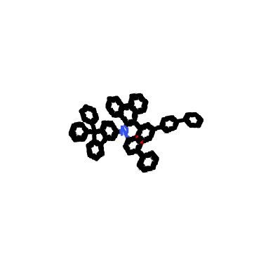 c1ccc(-c2ccc(-c3cccc(-c4c(N(c5ccc(-c6ccccc6)cc5)c5ccc6c(c5)-c5ccccc5C6(c5ccccc5)c5ccccc5)c5ccccc5c5ccccc45)c3)cc2)cc1